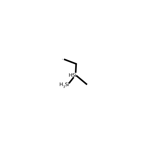 [CH2]C[SiH](C)[SiH3]